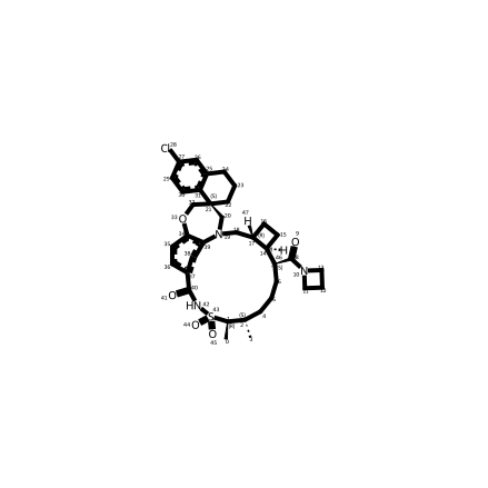 C[C@@H]1[C@@H](C)CCC[C@H](C(=O)N2CCC2)[C@@H]2CC[C@H]2CN2C[C@@]3(CCCc4cc(Cl)ccc43)COc3ccc(cc32)C(=O)NS1(=O)=O